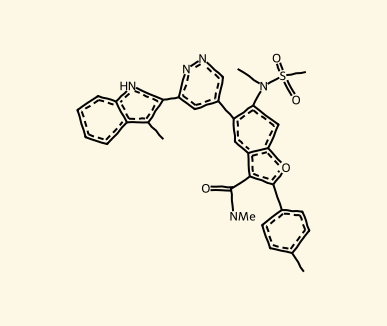 CNC(=O)c1c(-c2ccc(C)cc2)oc2cc(N(C)S(C)(=O)=O)c(-c3cnnc(-c4[nH]c5ccccc5c4C)c3)cc12